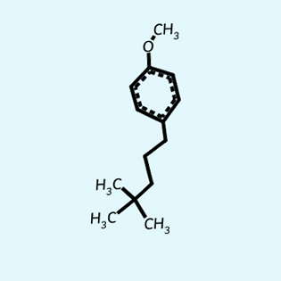 COc1ccc(CCCC(C)(C)C)cc1